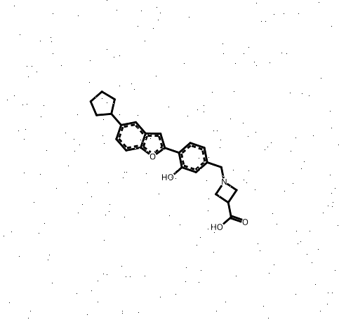 O=C(O)C1CN(Cc2ccc(-c3cc4cc(C5CCCC5)ccc4o3)c(O)c2)C1